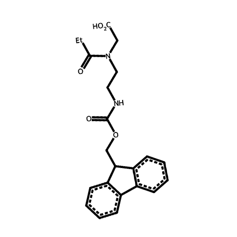 CCC(=O)N(CCNC(=O)OCC1c2ccccc2-c2ccccc21)CC(=O)O